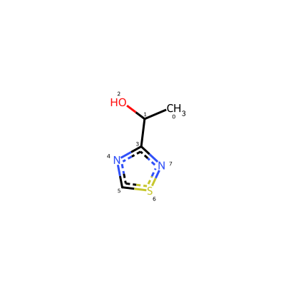 CC(O)c1ncsn1